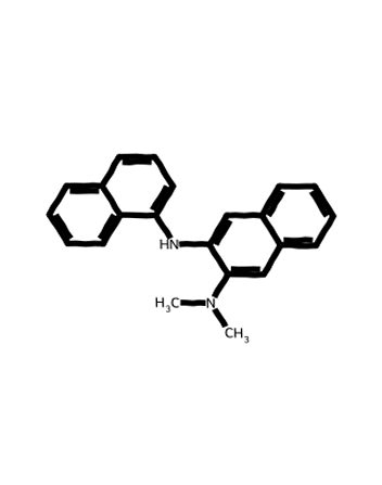 CN(C)c1cc2ccccc2cc1Nc1cccc2ccccc12